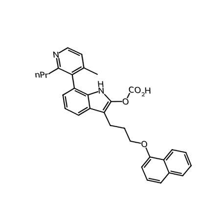 CCCc1nccc(C)c1-c1cccc2c(CCCOc3cccc4ccccc34)c(OC(=O)O)[nH]c12